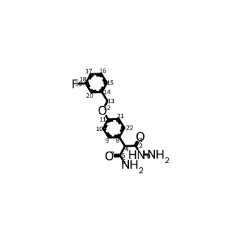 NNC(=O)C(C(N)=O)c1ccc(OCc2cccc(F)c2)cc1